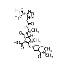 C[C@@H](NC(=O)Cn1nnnc1N(C)C)[C@H]1C(=O)N2C(C(=O)O)=C(S[C@@H]3CNC(C(=O)N(C)C)C3)[C@H](C)[C@@H]12